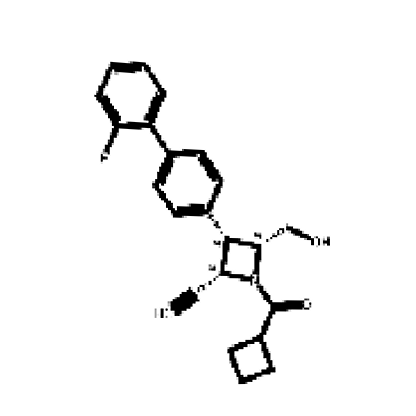 C#C[C@@H]1[C@H](c2ccc(-c3ccccc3F)cc2)[C@H](CO)N1C(=O)C1CCC1